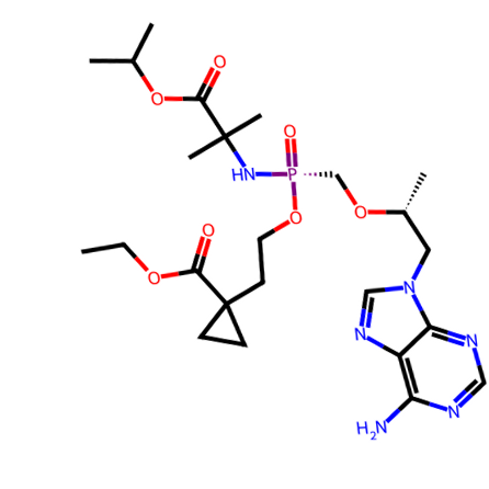 CCOC(=O)C1(CCO[P@@](=O)(CO[C@H](C)Cn2cnc3c(N)ncnc32)NC(C)(C)C(=O)OC(C)C)CC1